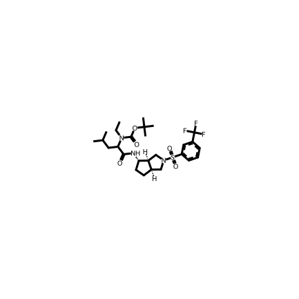 CCN(C(=O)OC(C)(C)C)C(CC(C)C)C(=O)N[C@H]1CC[C@@H]2CN(S(=O)(=O)c3cccc(C(F)(F)F)c3)C[C@@H]21